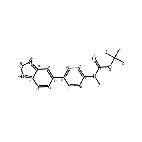 CN(C(=O)OC(C)(C)C)c1ccc(-c2ccc3nonc3c2)cc1